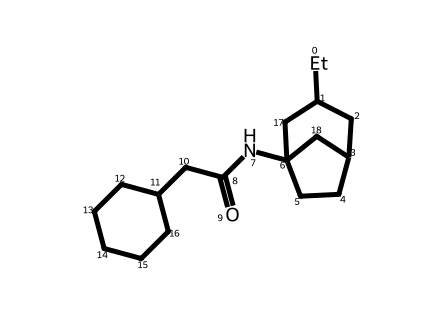 CCC1CC2CCC(NC(=O)CC3CCCCC3)(C1)C2